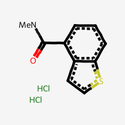 CNC(=O)c1cccc2sccc12.Cl.Cl